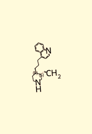 C=C[C@@H]1CNCC[C@H]1CCCc1ccnc2ccccc12